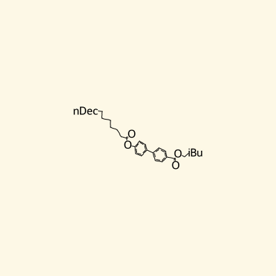 CCCCCCCCCCCCCCCCC(=O)Oc1ccc(-c2ccc(C(=O)OCC(C)CC)cc2)cc1